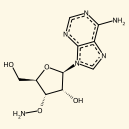 NO[C@H]1[C@@H](O)[C@H](n2cnc3c(N)ncnc32)O[C@@H]1CO